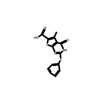 Cc1c(C(=O)O)sc2nc(Sc3ccccc3)[nH]c(=O)c12